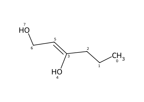 CCCC(O)=CCO